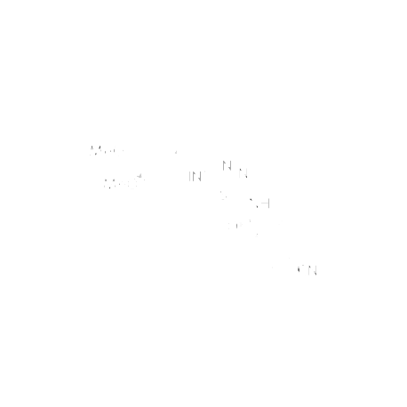 COc1ccc(CNc2nnc(NC(=O)c3ccc(C#N)cc3)s2)cc1OC